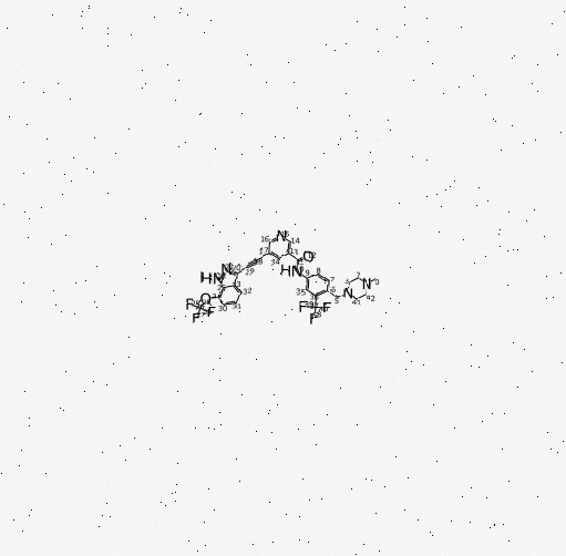 CN1CCN(Cc2ccc(NC(=O)c3cncc(C#Cc4n[nH]c5c(OC(F)(F)F)cccc45)c3)cc2C(F)(F)F)CC1